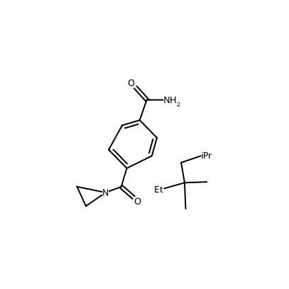 CCC(C)(C)CC(C)C.NC(=O)c1ccc(C(=O)N2CC2)cc1